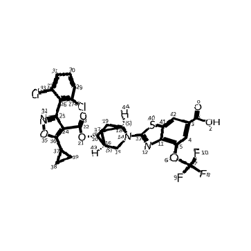 O=C(O)c1cc(OC(F)(F)F)c2nc(N3C[C@@H]4C[C@H]3C[C@H]4OC(=O)c3c(-c4c(Cl)cccc4Cl)noc3C3CC3)sc2c1